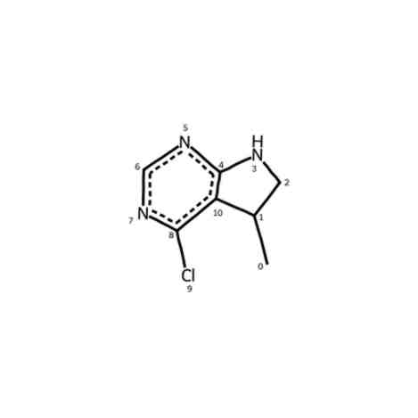 CC1CNc2ncnc(Cl)c21